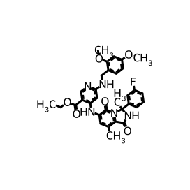 CCOC(=O)c1cnc(NCc2ccc(OC)cc2OC)cc1Nc1cc(C)c2n(c1=O)C(C)(c1cccc(F)c1)NC2=O